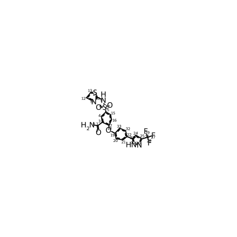 NC(=O)c1cc(S(=O)(=O)Nc2nccs2)ccc1Oc1ccc(-c2cc(C(F)(F)F)n[nH]2)cc1